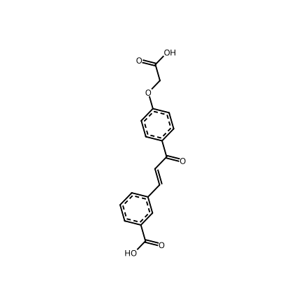 O=C(O)COc1ccc(C(=O)/C=C/c2cccc(C(=O)O)c2)cc1